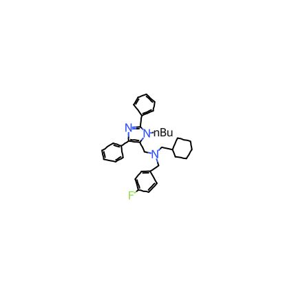 CCCCn1c(-c2ccccc2)nc(-c2ccccc2)c1CN(Cc1ccc(F)cc1)CC1CCCCC1